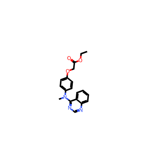 CCOC(=O)COc1ccc(N(C)c2ncnc3ccccc23)cc1